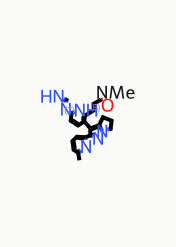 CNC(=O)/C=C/c1[nH]/c(=N\C=N)ccc1-c1c(-c2cccc(C)n2)nn2c1CCC2